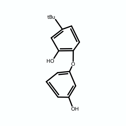 CC(C)(C)c1ccc(Oc2cccc(O)c2)c(O)c1